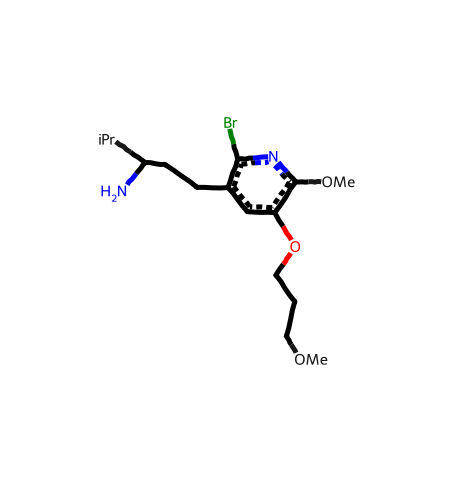 COCCCOc1cc(CCC(N)C(C)C)c(Br)nc1OC